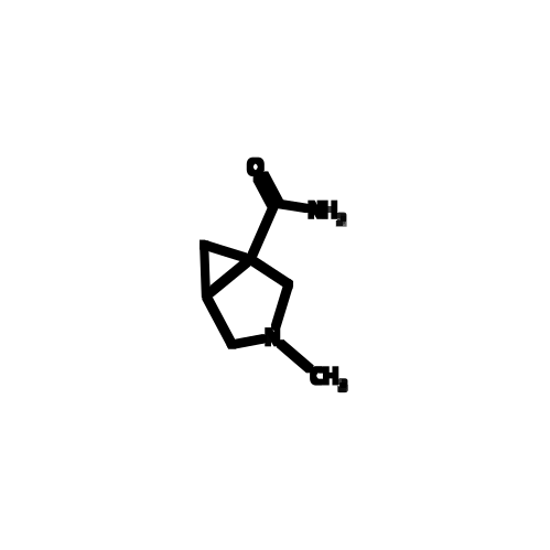 CN1CC2CC2(C(N)=O)C1